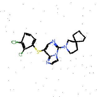 Clc1cccc(Sc2cnc(N3CCC4(CCCC4)C3)n3ccnc23)c1Cl